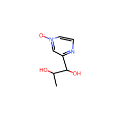 CC(O)C(O)c1c[n+]([O-])ccn1